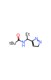 CCC(NC(=O)C(C)(C)C)C1=CCN=N1